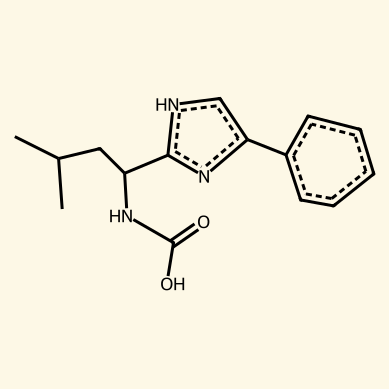 CC(C)CC(NC(=O)O)c1nc(-c2ccccc2)c[nH]1